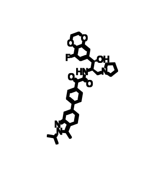 Cc1c2ccc(-c3ccc(C(=O)C(=O)N[C@H](CN4CCCC4)[C@@H](O)c4cc(F)c5c(c4)OCCO5)cc3)cc2nn1C(C)C